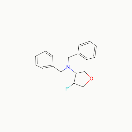 FC1COCC1N(Cc1ccccc1)Cc1ccccc1